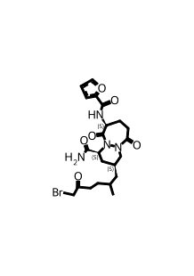 CC(CCC(=O)CBr)C[C@H]1C[C@@H](C(N)=O)N2C(=O)[C@@H](NC(=O)c3ccco3)CCC(=O)N2C1